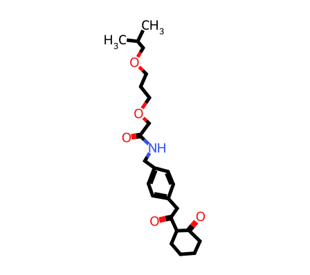 CC(C)COCCCOCC(=O)NCc1ccc(CC(=O)C2CCCCC2=O)cc1